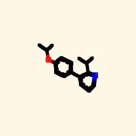 CC(C)Oc1ccc(-c2cccnc2C(C)C)cc1